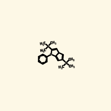 C[Si](C)(C)C1=CC2C=C([Si](C)(C)C)P(c3ccccc3)C2=C1